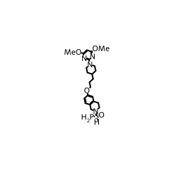 COc1cc(OC)nc(N2CCC(CCCOc3ccc4c(c3)CCN([SH](C)(=O)P)C4)CC2)n1